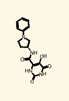 O=C(N[C@H]1CCN(c2ccccc2)C1)c1[nH]c(=O)[nH]c(=O)c1O